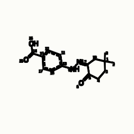 CC1(C)CCC(=O)/C(=N\Nc2ccc(C(=O)O)cc2)C1